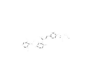 CC(Oc1ccc(N)c(C(=N)/C=C/c2ccc(N=S3(=O)CCN(C)CC3)cn2)c1)c1c(Cl)cncc1Cl